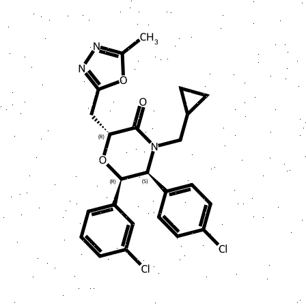 Cc1nnc(C[C@H]2O[C@H](c3cccc(Cl)c3)[C@H](c3ccc(Cl)cc3)N(CC3CC3)C2=O)o1